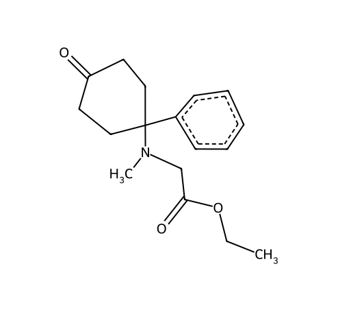 CCOC(=O)CN(C)C1(c2ccccc2)CCC(=O)CC1